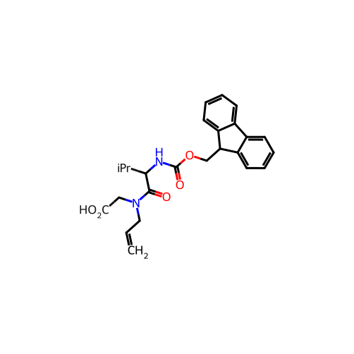 C=CCN(CC(=O)O)C(=O)C(NC(=O)OCC1c2ccccc2-c2ccccc21)C(C)C